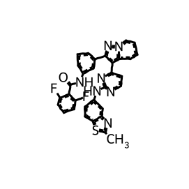 Cc1nc2cc(Nc3nccc(-c4c(-c5cccc(NC(=O)c6c(F)cccc6F)c5)nn5ccccc45)n3)ccc2s1